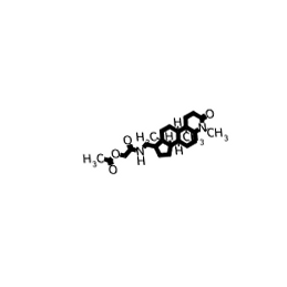 CC(=O)OCC(=O)NCC1CC[C@H]2[C@@H]3CCC4N(C)C(=O)CC[C@]4(C)[C@@H]3CC[C@]12C